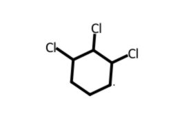 ClC1[CH]CCC(Cl)C1Cl